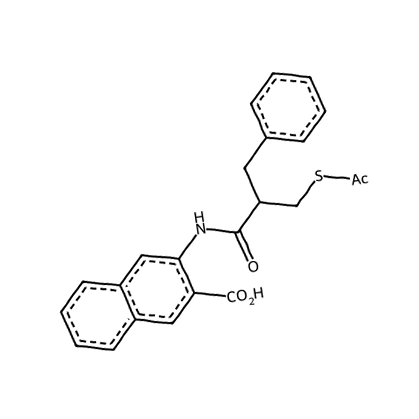 CC(=O)SCC(Cc1ccccc1)C(=O)Nc1cc2ccccc2cc1C(=O)O